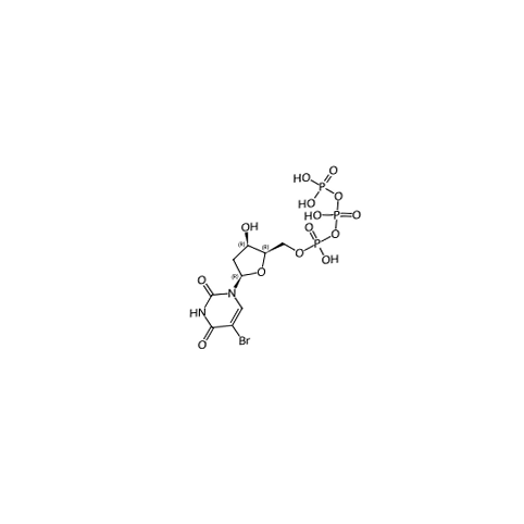 O=c1[nH]c(=O)n([C@H]2C[C@@H](O)[C@@H](COP(=O)(O)OP(=O)(O)OP(=O)(O)O)O2)cc1Br